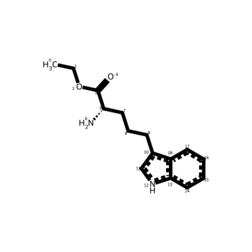 CCOC(=O)[C@@H](N)CCCc1c[nH]c2ccccc12